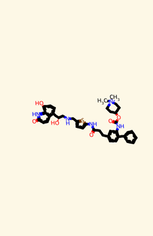 C[N+]1(C)CCC(OC(=O)Nc2cc(CCC(=O)Nc3ccc(CNC[C@H](O)c4ccc(O)c5[nH]c(=O)ccc45)s3)ccc2-c2ccccc2)CC1